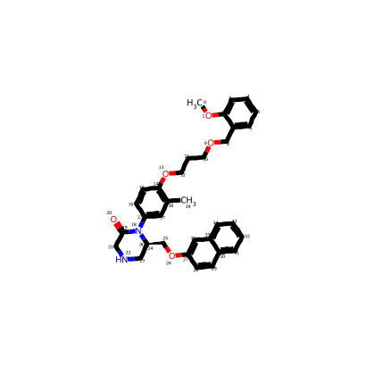 COc1ccccc1COCCCOc1ccc(N2C(=O)CNC[C@@H]2COc2ccc3ccccc3c2)cc1C